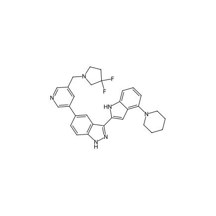 FC1(F)CCN(Cc2cncc(-c3ccc4[nH]nc(-c5cc6c(N7CCCCC7)cccc6[nH]5)c4c3)c2)C1